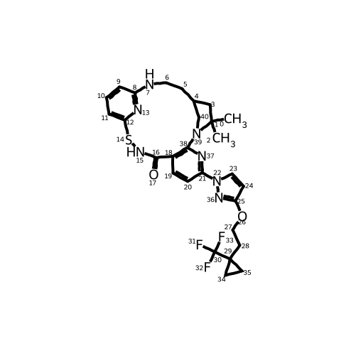 CC1(C)CC2CCNc3cccc(n3)SNC(=O)c3ccc(-n4ccc(OCCC5(C(F)(F)F)CC5)n4)nc3N1C2